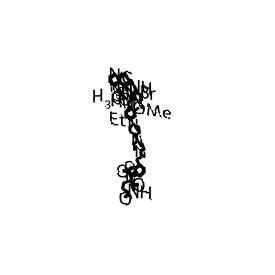 CCc1cc(Nc2ncc(Br)c(Nc3ccc4nccnc4c3NS(C)(=O)=O)n2)c(OC)cc1N1CCC(N2CCN(CCc3cccc4c3oc(=O)n4C3CCC(=O)NC3=O)CC2)CC1